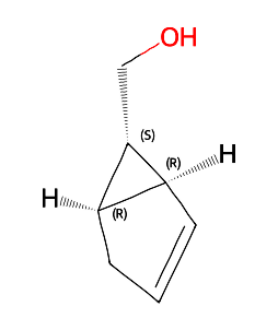 OC[C@@H]1[C@H]2C=CC[C@H]21